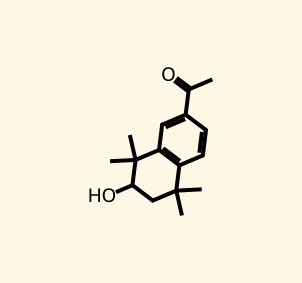 CC(=O)c1ccc2c(c1)C(C)(C)C(O)CC2(C)C